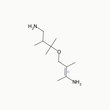 C/C(N)=C(/C)COC(C)(C)C(C)CN